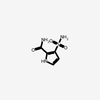 NC(=O)c1[nH]ccc1S(N)(=O)=O